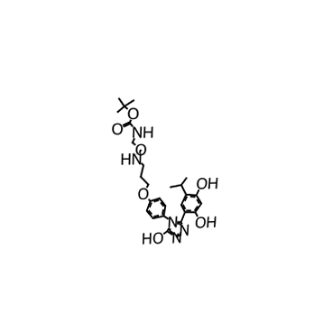 CC(C)c1cc(-c2nnc(O)n2-c2ccc(OCCCNOCNC(=O)OC(C)(C)C)cc2)c(O)cc1O